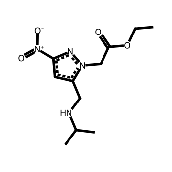 CCOC(=O)Cn1nc([N+](=O)[O-])cc1CNC(C)C